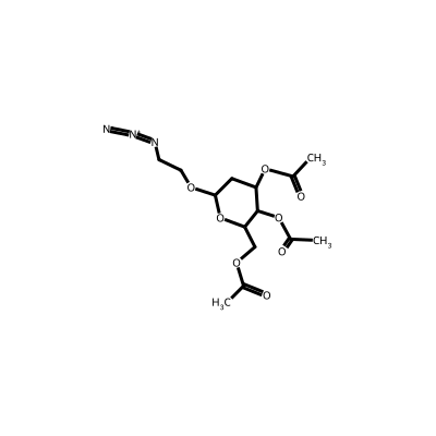 CC(=O)OCC1OC(OCCN=[N+]=[N-])CC(OC(C)=O)C1OC(C)=O